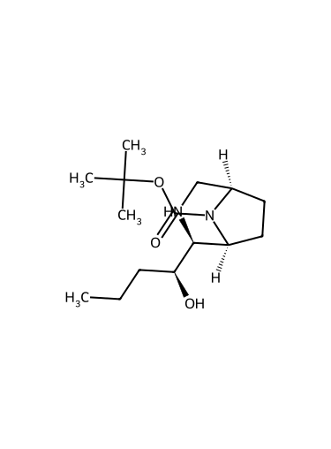 CCC[C@H](O)[C@H]1NC[C@H]2CC[C@@H]1N2C(=O)OC(C)(C)C